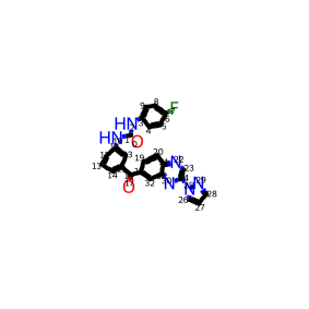 O=C(Nc1ccc(F)cc1)Nc1cccc(C(=O)c2ccc3ncc(-n4cccn4)nc3c2)c1